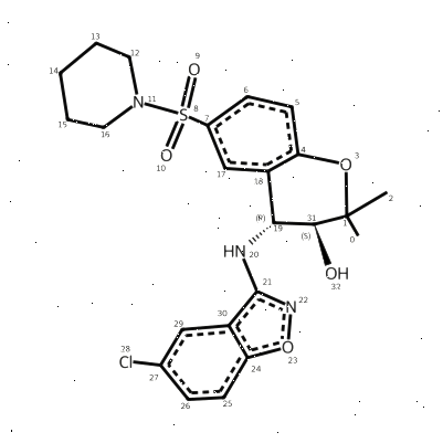 CC1(C)Oc2ccc(S(=O)(=O)N3CCCCC3)cc2[C@@H](Nc2noc3ccc(Cl)cc23)[C@@H]1O